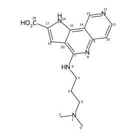 CN(C)CCCNc1nc2ccncc2c2[nH]c(C(=O)O)cc12